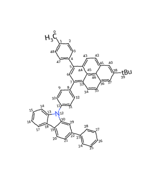 Cc1ccc(-c2cc(-c3ccc(-n4c5ccccc5c5ccc(-c6ccccc6)cc54)cc3)c3ccc4cc(C(C)(C)C)cc5ccc2c3c54)cc1